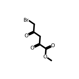 COC(=O)C(=O)CC(=O)CBr